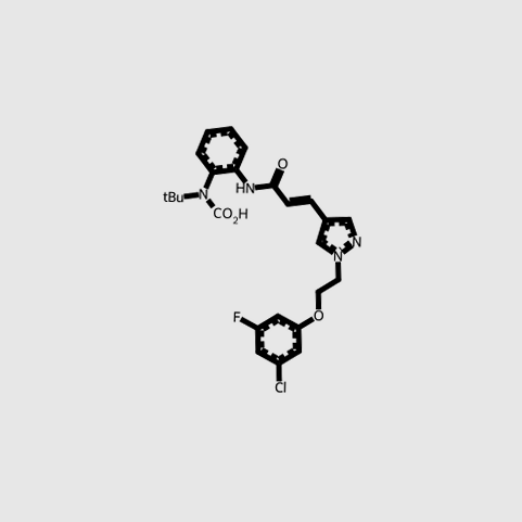 CC(C)(C)N(C(=O)O)c1ccccc1NC(=O)C=Cc1cnn(CCOc2cc(F)cc(Cl)c2)c1